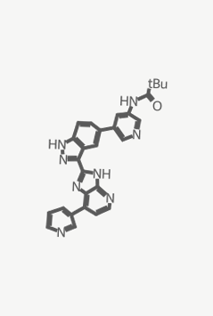 CC(C)(C)C(=O)Nc1cncc(-c2ccc3[nH]nc(-c4nc5c(-c6cccnc6)ccnc5[nH]4)c3c2)c1